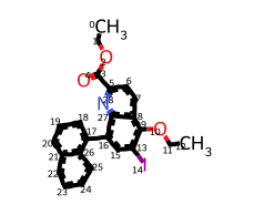 CCOC(=O)c1ccc2c(OCC)c(I)cc(-c3cccc4ccccc34)c2n1